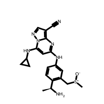 C[C@H](N)c1ccc(Nc2cc(NC3CC3)n3ncc(C#N)c3n2)cc1C[S+](C)[O-]